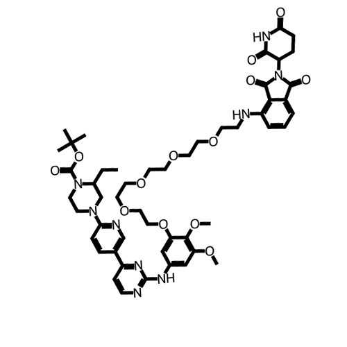 CCC1CN(c2ccc(-c3ccnc(Nc4cc(OC)c(OC)c(OCCOCCOCCOCCOCCNc5cccc6c5C(=O)N(C5CCC(=O)NC5=O)C6=O)c4)n3)cn2)CCN1C(=O)OC(C)(C)C